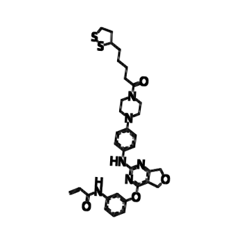 C=CC(=O)Nc1cccc(Oc2nc(Nc3ccc(N4CCN(C(=O)CCCCC5CCSS5)CC4)cc3)nc3c2COC3)c1